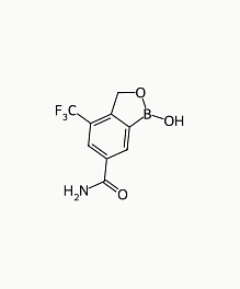 NC(=O)c1cc2c(c(C(F)(F)F)c1)COB2O